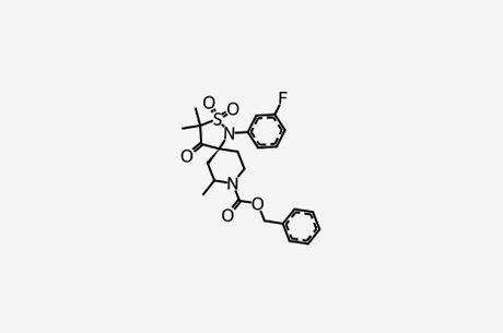 CC1C[C@@]2(CCN1C(=O)OCc1ccccc1)C(=O)C(C)(C)S(=O)(=O)N2c1cccc(F)c1